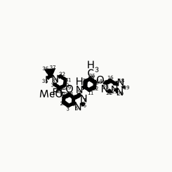 COc1ccc2ncnc(Nc3ccc(Oc4cc5ncnn5cn4)c(C)c3)c2c1OC1CCN(C2(I)CC2)CC1(F)F